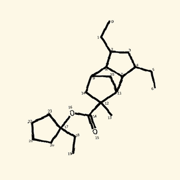 CCC1CC(CC)C2C1C1CC2C(C)(C(=O)OC2(CC)CCCC2)C1